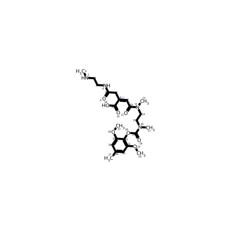 CNCCNC(=O)C/C(=C/C(=O)N(C)CCN(C)C(=O)Oc1c(OC)cc(C)cc1OC)C(=O)O